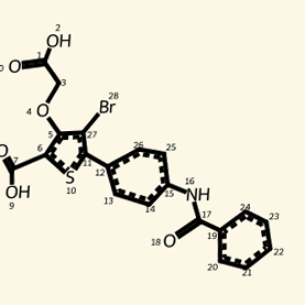 O=C(O)COc1c(C(=O)O)sc(-c2ccc(NC(=O)c3ccccc3)cc2)c1Br